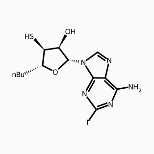 CCCC[C@H]1O[C@@H](n2cnc3c(N)nc(I)nc32)[C@H](O)[C@@H]1S